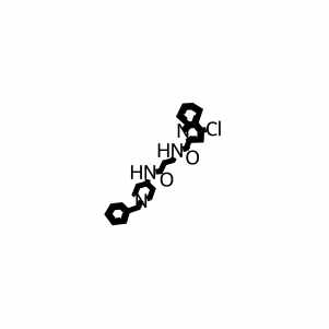 O=C(CCNC(=O)c1cc(Cl)c2ccccc2n1)NC1CCN(Cc2ccccc2)CC1